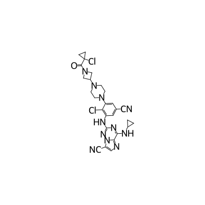 N#Cc1cc(Nc2nc(NC3CC3)c3ncc(C#N)n3n2)c(Cl)c(N2CCN(C3CN(C(=O)C4(Cl)CC4)C3)CC2)c1